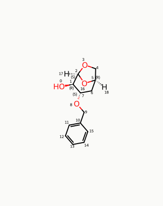 O[C@H]1[C@H]2OC[C@@H](C[C@@H]1OCc1ccccc1)O2